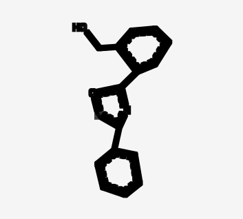 OCc1ccccc1-c1nc(-c2ccccc2)no1